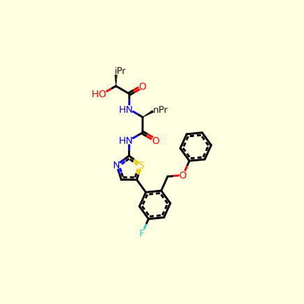 CCC[C@H](NC(=O)[C@@H](O)C(C)C)C(=O)Nc1ncc(-c2cc(F)ccc2COc2ccccc2)s1